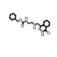 O=C(NCCNCc1n[nH]c(=O)c2ccccc12)OCc1ccccc1